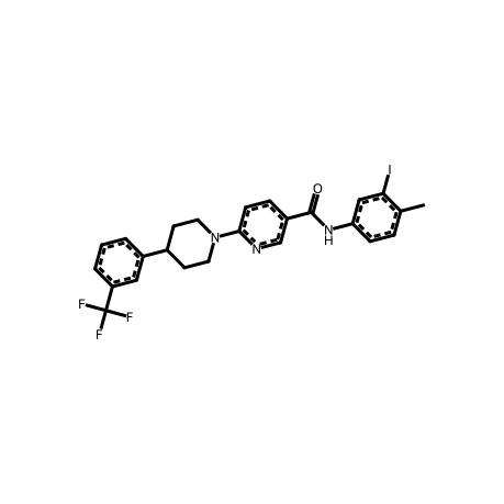 Cc1ccc(NC(=O)c2ccc(N3CCC(c4cccc(C(F)(F)F)c4)CC3)nc2)cc1I